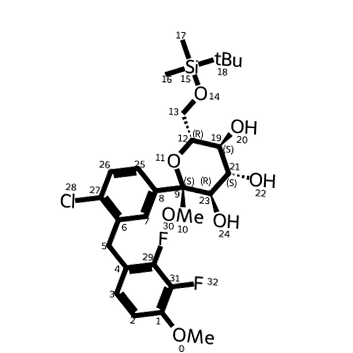 COc1ccc(Cc2cc([C@]3(OC)O[C@H](CO[Si](C)(C)C(C)(C)C)[C@@H](O)[C@H](O)[C@H]3O)ccc2Cl)c(F)c1F